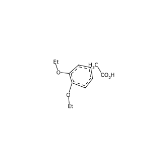 CC(=O)O.CCOc1ccccc1OCC